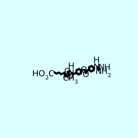 CN(CCCCCC(=O)O)S(=O)(=O)NCc1ccc(OC(=O)c2ccc(NC(=N)N)cc2)cc1